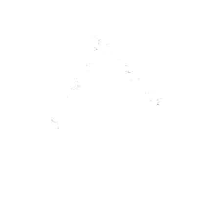 CCCCCCCCOC(=O)CCCCCCCC=CCCCCCCCCN1C(CCCCCCCC=CCCCCCCCC(=O)O)=NCC1C